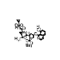 C=CC1C[C@]1(NC(=O)C1C[C@@H](Oc2nccc3cccc(C)c23)CN1C(=O)OC(C)(C)C)C(=O)NS(=O)(=O)C1CC1